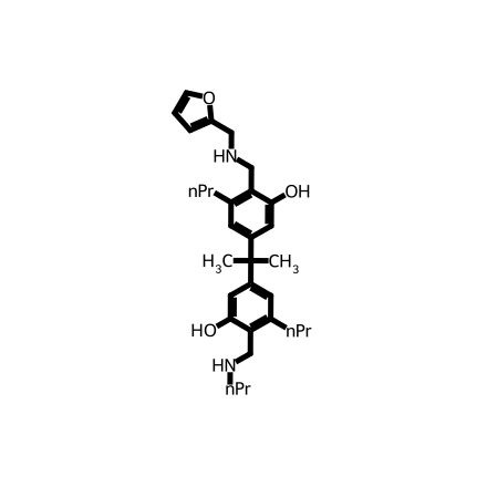 CCCNCc1c(O)cc(C(C)(C)c2cc(O)c(CNCc3ccco3)c(CCC)c2)cc1CCC